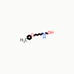 Cc1ccc(OCCCCCCNCCO)cc1